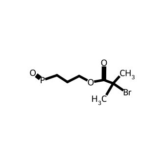 CC(C)(Br)C(=O)OCCCP=O